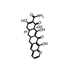 NC(=O)C1=C(O)C[C@@H]2CC3Cc4cc5cccnc5c(O)c4C(=O)C3=C(O)[C@]2(O)C1=O